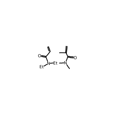 C=C(C)C(=O)N(C)C.C=CC(=O)N(CC)CC